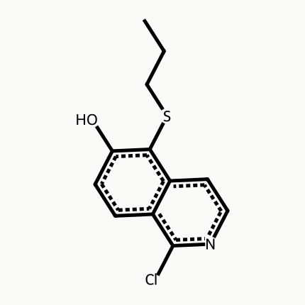 CCCSc1c(O)ccc2c(Cl)nccc12